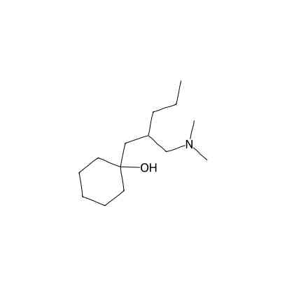 CCCC(CN(C)C)CC1(O)CCCCC1